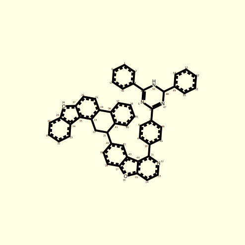 c1ccc(C2=NC(c3ccc(-c4nccc5oc6ccc(C7Cc8c(ccc9oc%10ccccc%10c89)-c8ccccc87)cc6c45)cc3)=NC(c3ccccc3)N2)cc1